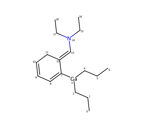 CC[CH2][Ga]([CH2]CC)[C]1=CC=CCC1=CN(CC)CC